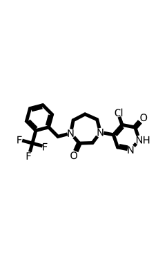 O=C1CN(c2cn[nH]c(=O)c2Cl)CCCN1Cc1ccccc1C(F)(F)F